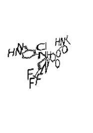 COc1cc(-n2nc(C(F)(F)F)cc2Nc2ccc3[nH]ncc3c2Cl)ccc1OCC(=O)NC(C)C